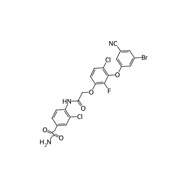 N#Cc1cc(Br)cc(Oc2c(Cl)ccc(OCC(=O)Nc3ccc(S(N)(=O)=O)cc3Cl)c2F)c1